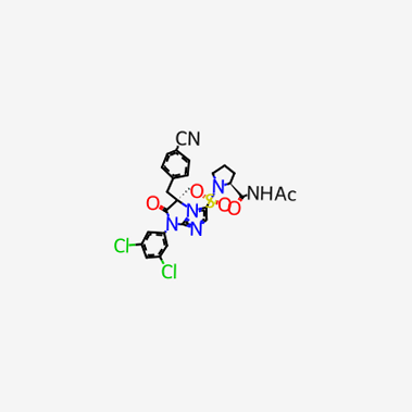 CC(=O)NC(=O)[C@@H]1CCCN1S(=O)(=O)c1cnc2n1[C@](C)(Cc1ccc(C#N)cc1)C(=O)N2c1cc(Cl)cc(Cl)c1